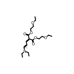 CCOCCOC(=O)C(=C/C=C/N(CC)CC)C(=O)OCCOCC